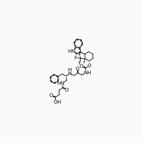 C[C@@H](NC(=O)O[C@H]1CCCC(c2c[nH]c3ccccc23)C1(C)C(F)(F)F)C(=O)CN[C@@H](CNC(=O)CCC(=O)O)Cc1ccccc1